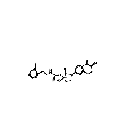 O=C1CCc2cc(N3CC[C@](O)(OC(=O)NCCc4ccccc4F)C3=O)ccc2N1